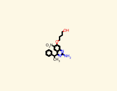 CC(c1ccccc1)c1nc(N)nc2cc(OCCCCO)c([N+](=O)[O-])cc12